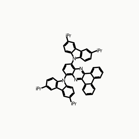 CC(C)c1ccc2c(c1)c1cc(C(C)C)ccc1n2-c1ccc(-n2c3ccc(C(C)C)cc3c3cc(C(C)C)ccc32)c2nc3c4ccccc4c4ccccc4c3nc12